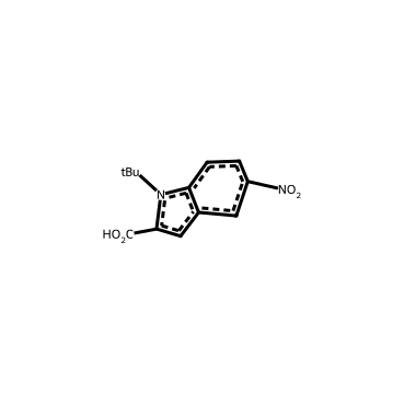 CC(C)(C)n1c(C(=O)O)cc2cc([N+](=O)[O-])ccc21